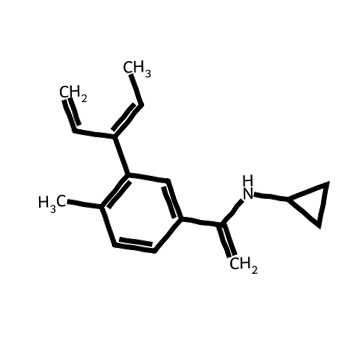 C=C/C(=C\C)c1cc(C(=C)NC2CC2)ccc1C